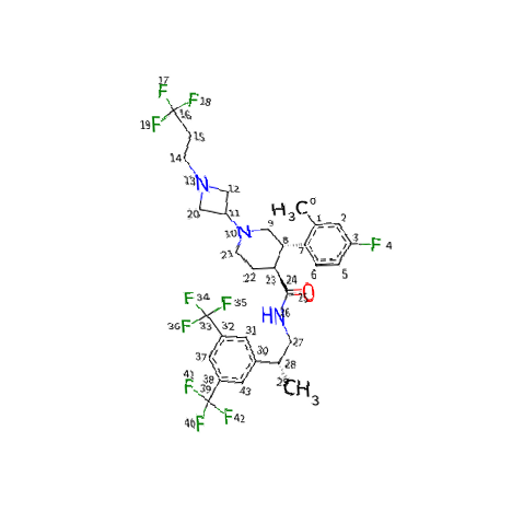 Cc1cc(F)ccc1[C@H]1CN(C2CN(CCC(F)(F)F)C2)CC[C@@H]1C(=O)NC[C@H](C)c1cc(C(F)(F)F)cc(C(F)(F)F)c1